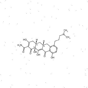 CN(C)CCCc1ccc(O)c2c1C[C@H]1C[C@H]3CC(O)=C(C(N)=O)C(=O)[C@@]3(O)C(O)=C1C2=O